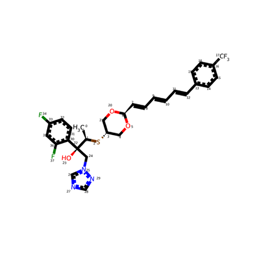 C[C@@H](S[C@H]1CO[C@H](/C=C/C=C/C=C/c2ccc(C(F)(F)F)cc2)OC1)[C@](O)(Cn1cncn1)c1ccc(F)cc1F